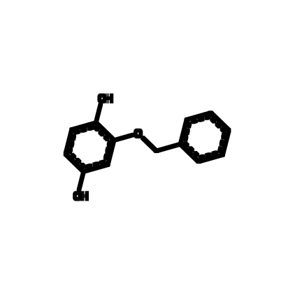 Oc1ccc(O)c(OCc2ccccc2)c1